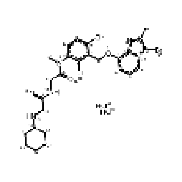 Cc1nc2c(OCc3c(Cl)ccc(N(C)C(=O)CNC(=O)CNC4CCCCC4)c3Cl)cccn2c1Br.Cl.Cl